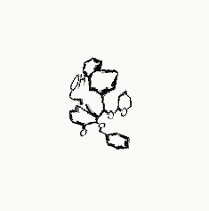 O=c1ccn(CCO)c(C(OC2CCCCO2)c2ccc3ccccc3c2)c1OCc1ccccc1